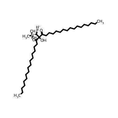 CCCCCCCCCCCCCCCCC(=O)C(O)(C(=O)CCCCCCCCCCCCCCCC)C([PH-])[N+](C)(C)C